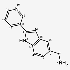 NCc1ccc2[nH]c(-c3[c]nccc3)cc2c1